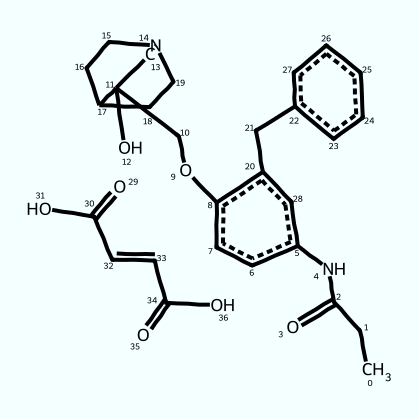 CCC(=O)Nc1ccc(OCC2(O)CN3CCC2CC3)c(Cc2ccccc2)c1.O=C(O)C=CC(=O)O